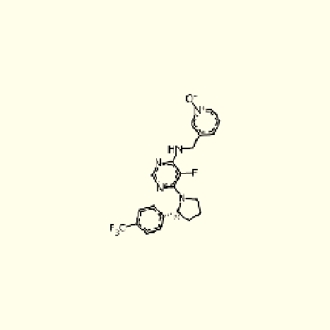 [O-][n+]1cccc(CNc2ncnc(N3CCC[C@@H]3c3ccc(C(F)(F)F)cc3)c2F)c1